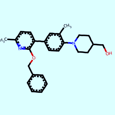 Cc1ccc(-c2ccc(N3CCC(CO)CC3)c(C)c2)c(OCc2ccccc2)n1